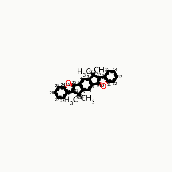 CC1(C)c2cc3c(cc2-c2oc4ccccc4c21)C(C)(C)c1c-3oc2ccccc12